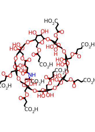 CC(NC(=O)CCC(=O)OCC1OC2OC3C(COC(=O)CCC(=O)O)OC(OC4C(COC(=O)CCC(=O)O)OC(OC5C(COC(=O)CCC(=O)O)OC(OC6C(COC(=O)CCC(=O)O)OC(OC7C(COC(=O)CCC(=O)O)OC(OC8C(COC(=O)CCC(=O)O)OC(OC9C(COC(=O)CCC(=O)O)OC(OC1C(O)C2O)C(O)C9O)C(O)C8O)C(O)C7O)C(O)C6O)C(O)C5O)C(O)C4O)C(O)C3O)C(=O)O